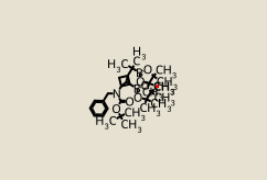 CC(C)(C)OC(=O)N(Cc1ccccc1)C12CC(C(C)(C)B3OC(C)(C)C(C)(C)O3)(C1)C2B1OC(C)(C)C(C)(C)O1